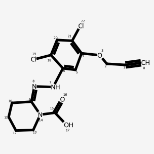 C#CCOc1cc(NN=C2CCCCN2C(=O)O)c(Cl)cc1Cl